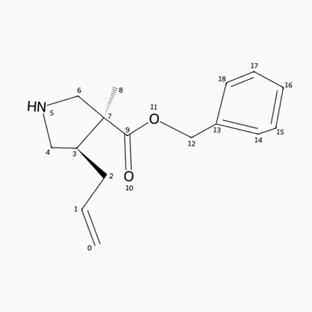 C=CC[C@H]1CNC[C@@]1(C)C(=O)OCc1ccccc1